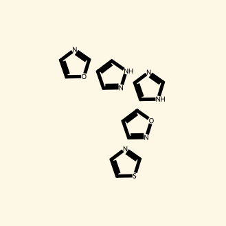 c1c[nH]cn1.c1cn[nH]c1.c1cnoc1.c1cocn1.c1cscn1